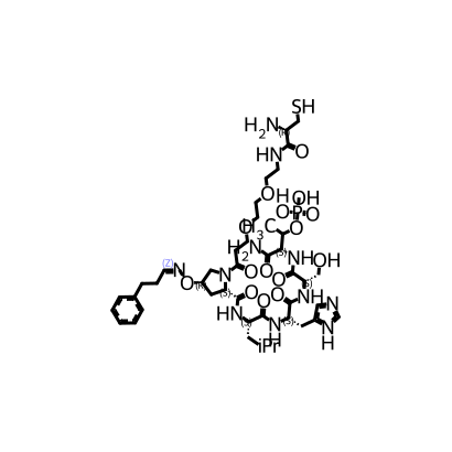 CC(C)C[C@H](NC(=O)[C@@H]1C[C@@H](O/N=C\CCc2ccccc2)CN1C(=O)CCOCCOCCNC(=O)[C@@H](N)CS)C(=O)N[C@@H](Cc1cnc[nH]1)C(=O)N[C@@H](CO)C(=O)N[C@H](C(N)=O)C(C)OP(=O)(O)O